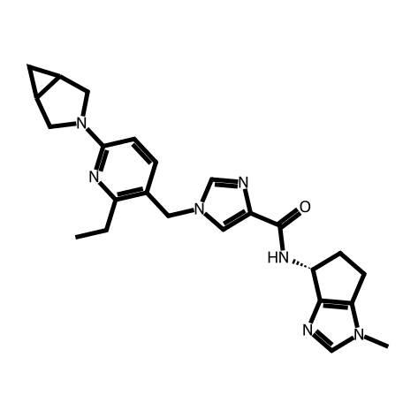 CCc1nc(N2CC3CC3C2)ccc1Cn1cnc(C(=O)N[C@@H]2CCc3c2ncn3C)c1